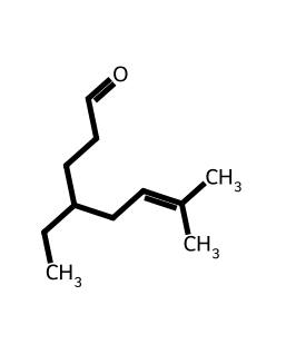 CCC(CC=C(C)C)CCC=O